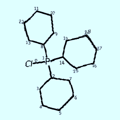 Cl[P](C1CCCCC1)(C1CCCCC1)C1CCCCC1